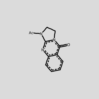 CC(=O)N1CCn2c1nc1ccccc1c2=O